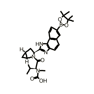 CC(C)[C@@H](C(=O)N1[C@@H]2C[C@@H]2C[C@H]1c1nc2ccc3cc(B4OC(C)(C)C(C)(C)O4)ccc3c2[nH]1)N(C)C(=O)O